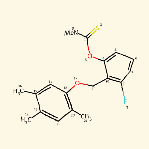 CNC(=S)Oc1cccc(F)c1COc1cc(C)c(C)cc1C